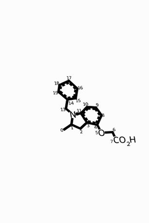 CC1Cc2c(OCC(=O)O)cccc2N1Cc1ccccc1